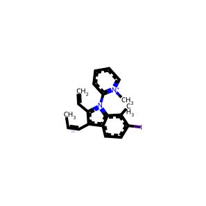 C=Cc1c(/C=C\C)c2ccc(I)c(C)c2n1-c1cccc[n+]1C